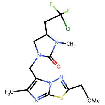 COCc1nn2c(CN3CC(CC(F)(F)Cl)N(C)C3=O)c(C(F)(F)F)nc2s1